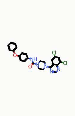 O=C(Nc1ccc(Oc2ccccc2)cc1)N1CCN(c2ncnc3c(Cl)cc(Cl)cc23)CC1